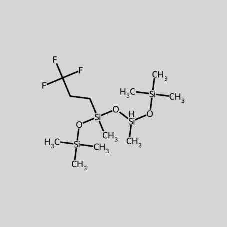 C[SiH](O[Si](C)(C)C)O[Si](C)(CCC(F)(F)F)O[Si](C)(C)C